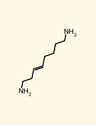 NCC/C=C/CCCCN